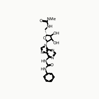 CNC(=O)NC[C@H]1O[C@@H](n2cnc3c(NC(=O)Nc4ccccc4)ncnc32)C(O)C1O